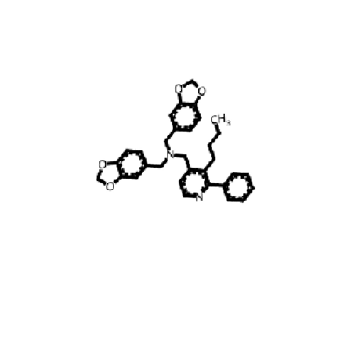 CCCCc1c(CN(Cc2ccc3c(c2)OCO3)Cc2ccc3c(c2)OCO3)ccnc1-c1ccccc1